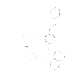 CN(C)CC(=O)N1CCC(COc2cccc3ncnc(Nc4ccc(OCc5ccccn5)c(Cl)c4)c23)C1